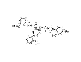 CCOc1ncccc1-c1ccc(OC2CC3(C2)CN(c2ccc(F)cc2C#N)C3)c(C(=O)NCc2ccnc(CO)c2)n1